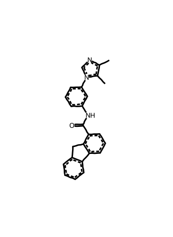 Cc1ncn(-c2cccc(NC(=O)c3cccc4c3Cc3ccccc3-4)c2)c1C